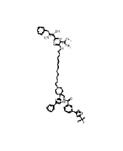 CC(C)[C@H](NC(=O)[C@@H](O)[C@H](N)Cc1ccccc1)C(=O)NCCCCCCCCCCCN1CCC(CNC(=O)c2cccc(-c3noc(C(F)(F)F)n3)c2)(c2nc(-c3ccccc3)cs2)CC1